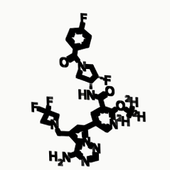 [2H]C([2H])([2H])Oc1ncc(-c2cc(CN3CC(F)(F)C3)c3c(N)ncnn23)cc1C(=O)N[C@@H]1CN(C(=O)c2ccc(F)cc2)C[C@@H]1F